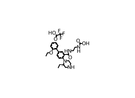 CCOc1ccccc1-c1ccc(N2CCNC[C@H]2CC)c(C(=O)NCCNC(=O)O)c1.O=C(O)C(F)(F)F